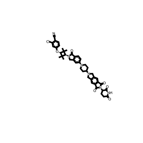 CC1(C)[C@H](Oc2ccc(C#N)c(Cl)c2)C(C)(C)[C@H]1N1Cc2cc(N3CCC(N4Cc5cc6c(cc5C4)C(=O)N(C4CCC(=O)NC4=O)C6=O)CC3)ccc2C1=O